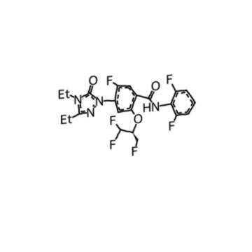 CCc1nn(-c2cc(O[C@@H](CF)C(F)F)c(C(=O)Nc3c(F)cccc3F)cc2F)c(=O)n1CC